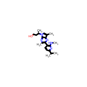 CNc1nc(C(C)C)ccc1-c1nc2c(C)cn([C@H](C)CCO)c2nc1C